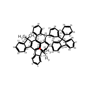 CC1(C)c2ccccc2-c2c1cc(-c1ccccc1N(c1ccccc1)c1cccc(C3(c4ccccc4)c4ccccc4-c4ccccc43)c1)c1c2-c2ccccc2C1(C)C